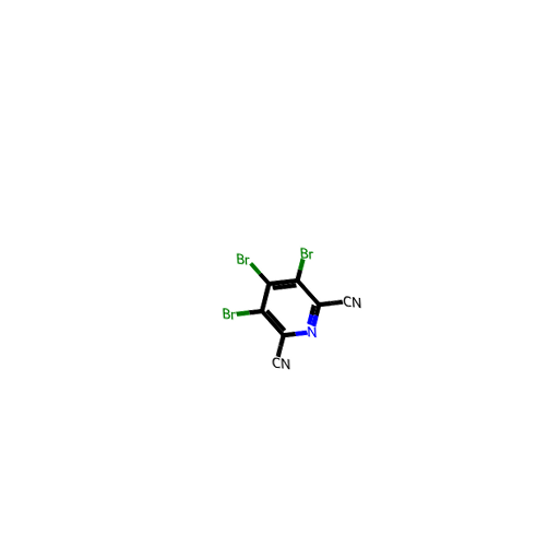 N#Cc1nc(C#N)c(Br)c(Br)c1Br